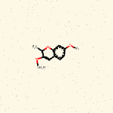 CC(C)Oc1ccc2c(c1)OC(C(F)(F)F)C(OC(=O)O)=C2